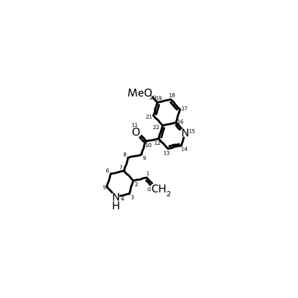 C=CC1CNCCC1CCC(=O)c1ccnc2ccc(OC)cc12